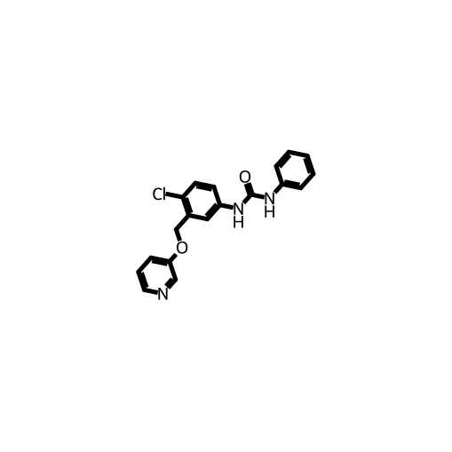 O=C(Nc1ccccc1)Nc1ccc(Cl)c(COc2cccnc2)c1